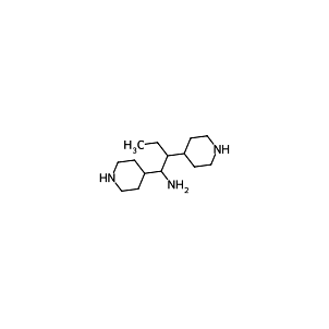 CCC(C1CCNCC1)C(N)C1CCNCC1